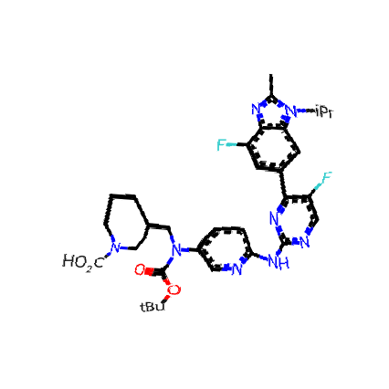 Cc1nc2c(F)cc(-c3nc(Nc4ccc(N(CC5CCCN(C(=O)O)C5)C(=O)OC(C)(C)C)cn4)ncc3F)cc2n1C(C)C